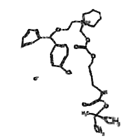 CC(C)(C)OC(=O)NCCCOC(=O)OC[N+]1(CCOC(c2ccccc2)c2ccc(Cl)cc2)CCCCC1.[Cl-]